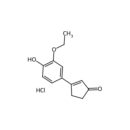 CCOc1cc(C2=CC(=O)CC2)ccc1O.Cl